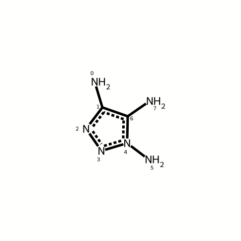 Nc1nnn(N)c1N